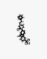 Cn1c2c(c3ccc(N4CCN(CCc5ccccn5)CC4=O)cc31)CN(C(=O)O)CC2